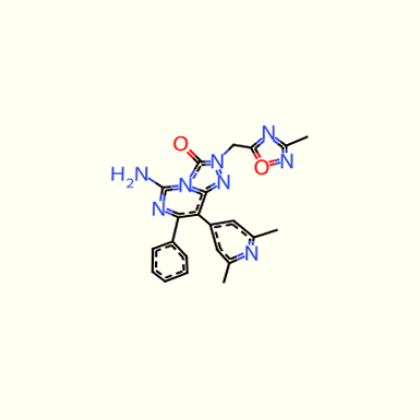 Cc1cc(-c2c(-c3ccccc3)nc(N)n3c(=O)n(Cc4nc(C)no4)nc23)cc(C)n1